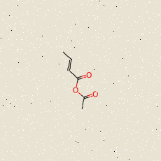 C/C=C/C(=O)OC(C)=O